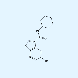 O=C(NC1CCCCC1)c1csc2ncc(Br)cc12